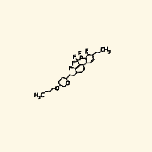 CCCCOC1CCC(CCc2ccc3c(c2F)C(F)(F)P(F)c2c-3ccc(CCC)c2F)OC1